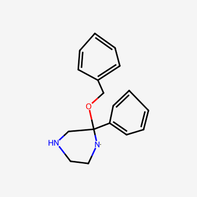 c1ccc(COC2(c3ccccc3)CNCC[N]2)cc1